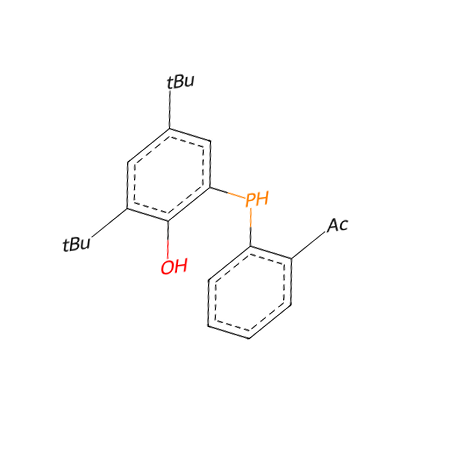 CC(=O)c1ccccc1Pc1cc(C(C)(C)C)cc(C(C)(C)C)c1O